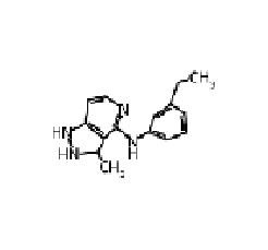 CCc1cccc(Nc2nccc3c2C(C)NN3)c1